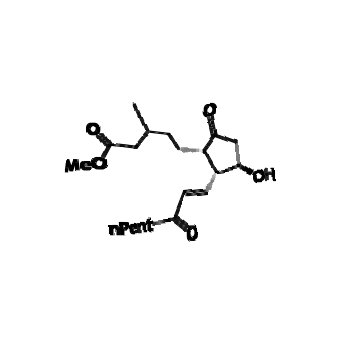 CCCCCC(=O)C=C[C@H]1[C@H](O)CC(=O)[C@H]1CCC(C)CC(=O)OC